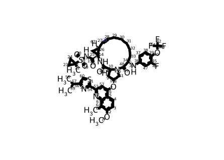 COc1ccc2c(O[C@@H]3C[C@H]4C(=O)N[C@]5(C(=O)NS(=O)(=O)C6(C)CC6)C[C@H]5/C=C\CCCCC[C@H](Nc5ccc(OC(F)(F)F)c(F)c5)C(=O)N4C3)cc(-c3nc(C(C)C)cs3)nc2c1C